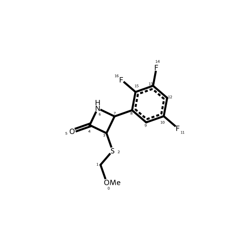 COCSC1C(=O)NC1c1cc(F)cc(F)c1F